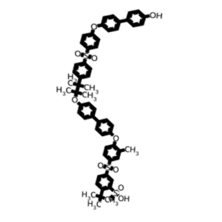 Cc1cc(S(=O)(=O)c2ccc(C(C)(C)C)c(S(=O)(=O)O)c2)ccc1Oc1ccc(-c2ccc(OC(C)(C)C(C)(C)c3ccc(S(=O)(=O)c4ccc(Oc5ccc(-c6ccc(O)cc6)cc5)cc4)cc3)cc2)cc1